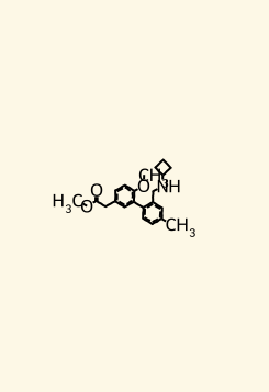 COC(=O)Cc1ccc(OC)c(-c2ccc(C)cc2CNC2CCC2)c1